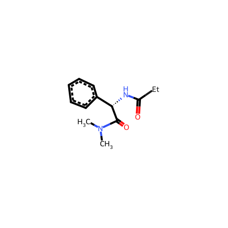 CCC(=O)N[C@H](C(=O)N(C)C)c1ccccc1